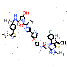 Cc1ncsc1-c1ccc([C@H](C)NC(=O)[C@@H]2C[C@@H](O)CN2C(=O)C(C(C)C)n2cc(-c3cc(O[C@H]4C[C@@H](NC(=O)C[C@@H]5N=C(c6ccc(Cl)cc6)c6c(sc(C)c6C)-n6c(C)nnc65)C4)ccn3)cn2)cc1